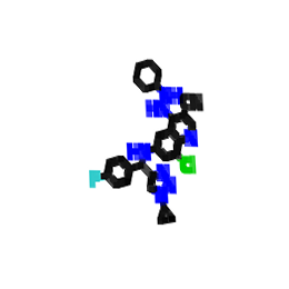 N#Cc1cnc2c(Cl)cc(NC(c3ccc(F)cc3)c3cn(C4CC4)nn3)cc2c1NNC1CCCCC1